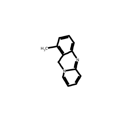 Cc1cccc2c1CN1C=CC=CC1=N2